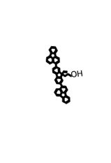 C=CC1(CCCO)c2cc(-c3ccc4c5c(cccc35)-c3ccccc3-4)ccc2-c2ccc(-c3ccc4c5c(cccc35)-c3ccccc3-4)cc21